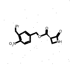 CC(C)Cc1cc(COC(=O)[C@@H]2CNC2=O)ccc1[N+](=O)[O-]